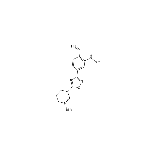 CC(C)Nc1cc(-c2noc(C3CCCN(C=O)C3)n2)ccc1C=N